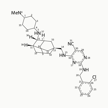 CNC1CCC(N[C@@H]2[C@@H]3CC4C[C@H]2C[C@@](CNc2nc(NCc5ccccc5Cl)ncc2C#N)(C4)C3)CC1